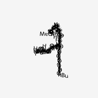 CCCCOCCOCCOCCOCCOCCOCCNC(=O)C(CSSCCNC(=O)OCc1ccc(-c2ccnc3ccc(-c4cnc(OC)c(N)c4)cc23)cn1)NC(=O)CCC(=O)NCc1cc(C(=O)NC(C)C(=O)N2CC(F)(F)C[C@H]2C#N)ccn1